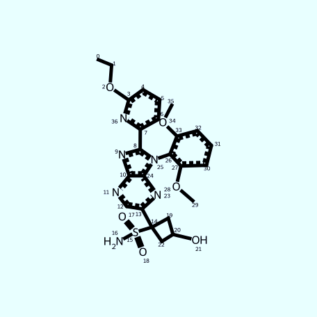 CCOc1cccc(-c2nc3ncc(C4(S(N)(=O)=O)CC(O)C4)nc3n2-c2c(OC)cccc2OC)n1